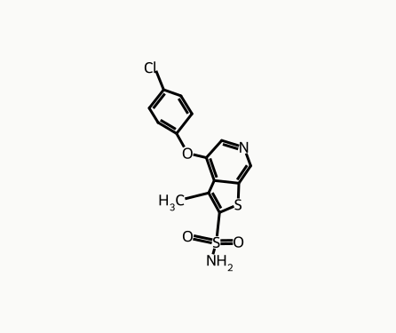 Cc1c(S(N)(=O)=O)sc2cncc(Oc3ccc(Cl)cc3)c12